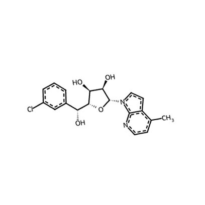 Cc1ccnc2c1ccn2[C@@H]1O[C@H]([C@H](O)c2cccc(Cl)c2)[C@@H](O)[C@H]1O